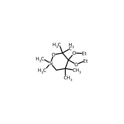 CCOC1(OCC)C(C)(C)C[Si](C)(C)OC1(C)C